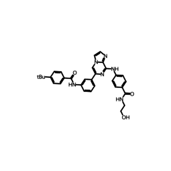 CC(C)(C)c1ccc(C(=O)Nc2cccc(-c3cn4ccnc4c(Nc4ccc(C(=O)NCCO)cc4)n3)c2)cc1